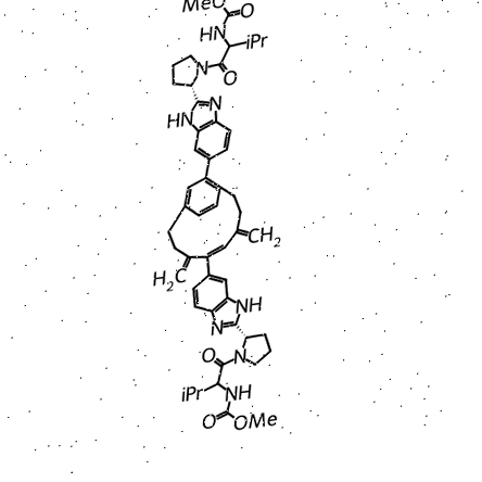 C=C1/C=C(/c2ccc3nc([C@@H]4CCCN4C(=O)C(NC(=O)OC)C(C)C)[nH]c3c2)C(=C)CCc2ccc(c(-c3ccc4nc([C@@H]5CCCN5C(=O)C(NC(=O)OC)C(C)C)[nH]c4c3)c2)CC1